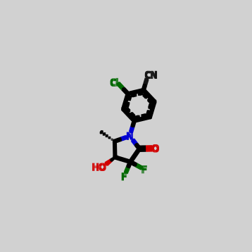 C[C@H]1[C@H](O)C(F)(F)C(=O)N1c1ccc(C#N)c(Cl)c1